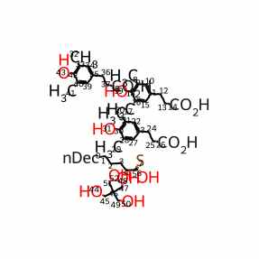 CCCCCCCCCCCCCCC(O)=S.Cc1cc(CCC(=O)O)cc(C)c1O.Cc1cc(CCC(=O)O)cc(C)c1O.Cc1cc(CCC(=O)O)cc(C)c1O.OCC(CO)(CO)CO